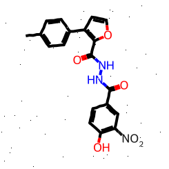 Cc1ccc(-c2ccoc2C(=O)NNC(=O)c2ccc(O)c([N+](=O)[O-])c2)cc1